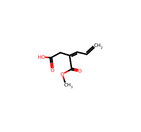 C=CC=C(CC(=O)O)C(=O)OC